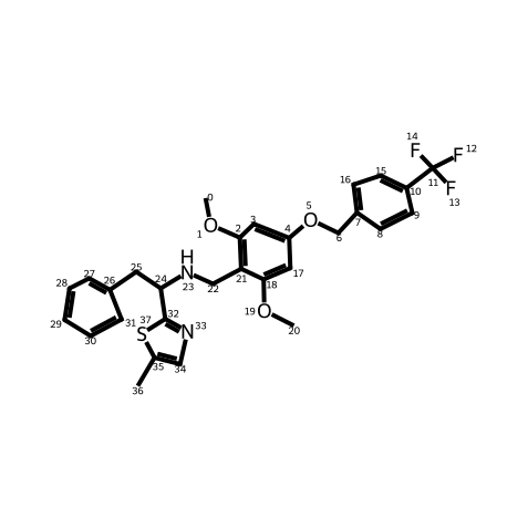 COc1cc(OCc2ccc(C(F)(F)F)cc2)cc(OC)c1CNC(Cc1ccccc1)c1ncc(C)s1